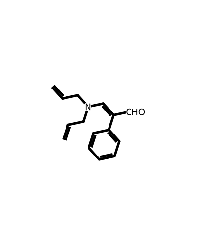 C=CCN(/C=C(/C=O)c1ccccc1)CC=C